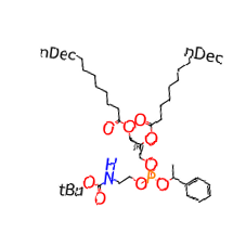 CCCCCCCCCCCCCCCCCC(=O)OC[C@H](COP(OCCNC(=O)OC(C)(C)C)OC(C)c1ccccc1)OC(=O)CCCCCCCCCCCCCCCCC